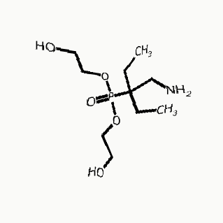 CCC(CC)(CN)P(=O)(OCCO)OCCO